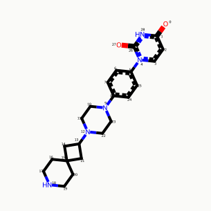 O=c1ccn(-c2ccc(N3CCN(C4CC5(CCNCC5)C4)CC3)cc2)c(=O)[nH]1